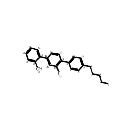 CCCCCc1ccc(-c2ccc(-c3ccccc3O)cc2F)cc1